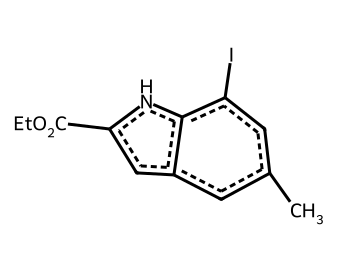 CCOC(=O)c1cc2cc(C)cc(I)c2[nH]1